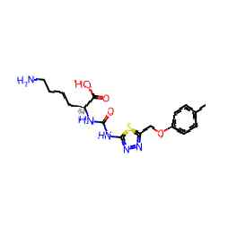 Cc1ccc(OCc2nnc(NC(=O)N[C@@H](CCCCN)C(=O)O)s2)cc1